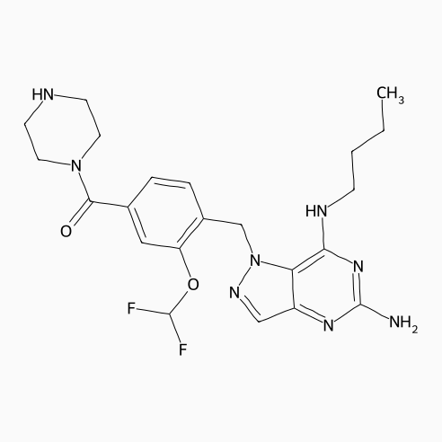 CCCCNc1nc(N)nc2cnn(Cc3ccc(C(=O)N4CCNCC4)cc3OC(F)F)c12